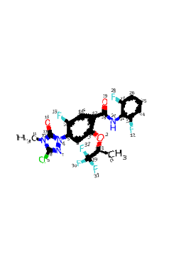 C[C@H](Oc1cc(-n2nc(Cl)n(C)c2=O)c(F)cc1C(=O)Nc1c(F)cccc1F)C(F)(F)F